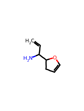 C=CC(N)C1CC=CO1